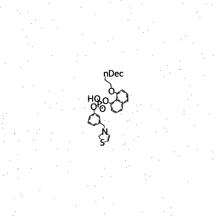 CCCCCCCCCCCCOc1cccc2cccc(OP(=O)(O)Oc3cccc(CN4C=CSC4)c3)c12